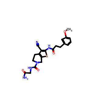 COc1cccc(CCC(=O)Nc2sc3c(c2C#N)CCN(C(=O)NCC(N)=O)C3)c1